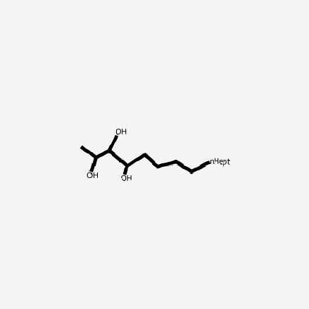 CCCCCCCCCCCC(O)C(O)C(C)O